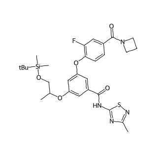 Cc1nsc(NC(=O)c2cc(Oc3ccc(C(=O)N4CCC4)cc3F)cc(OC(C)CO[Si](C)(C)C(C)(C)C)c2)n1